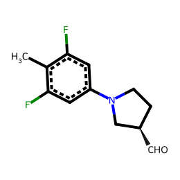 Cc1c(F)cc(N2CC[C@@H](C=O)C2)cc1F